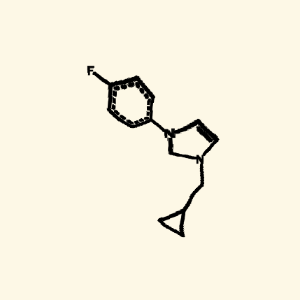 Fc1ccc(N2C=CN(CC3CC3)C2)cc1